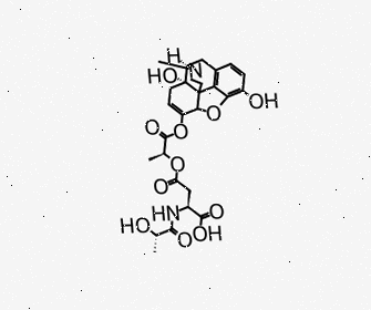 C[C@H](O)C(=O)N[C@@H](CC(=O)O[C@@H](C)C(=O)OC1=CC[C@@]2(O)[C@H]3Cc4ccc(O)c5c4C2(CCN3C)C1O5)C(=O)O